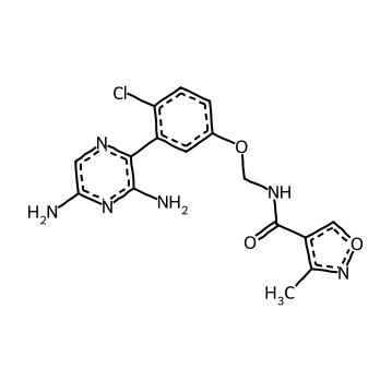 Cc1nocc1C(=O)NCOc1ccc(Cl)c(-c2ncc(N)nc2N)c1